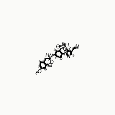 COc1ccc(CC(=O)Nc2ccc(-n3cc(C#N)cn3)c(S(N)(=O)=O)c2)c(Cl)c1